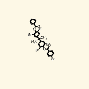 CC(C)(c1cc(Br)c(OC(=O)c2ccccc2)c(Br)c1)c1cc(Br)c(OC(=O)c2ccc(Br)cc2)c(Br)c1